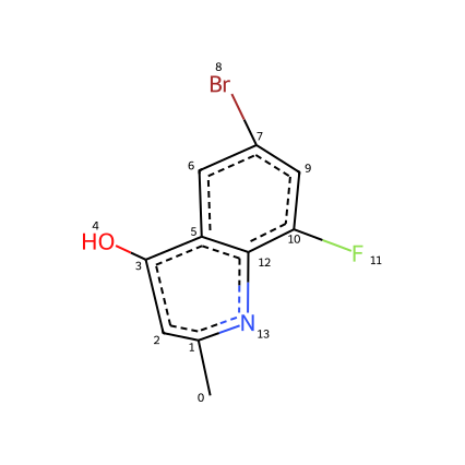 Cc1cc(O)c2cc(Br)cc(F)c2n1